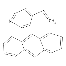 C=Cc1ccncc1.c1ccc2cc3ccccc3cc2c1